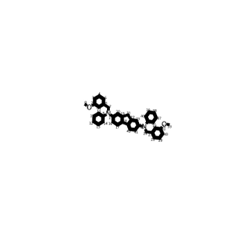 COc1cccc(CN(c2ccccc2)c2ccc3c(c2)Cc2cc(N(Cc4cccc(OC)c4)c4ccccc4)ccc2-3)c1